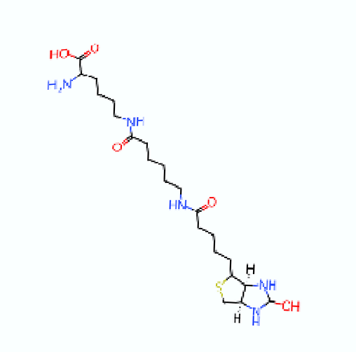 NC(CCCCNC(=O)CCCCCNC(=O)CCCCC1SC[C@@H]2NC(O)N[C@H]12)C(=O)O